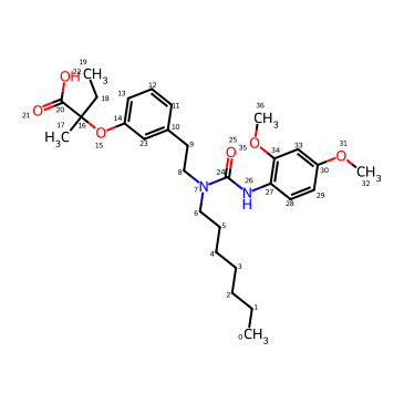 CCCCCCCN(CCc1cccc(OC(C)(CC)C(=O)O)c1)C(=O)Nc1ccc(OC)cc1OC